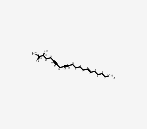 CCCCCC=CCCCCC#CCC#CCCC(F)C(=O)O